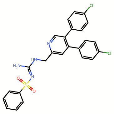 N/C(=N\S(=O)(=O)c1ccccc1)NCc1cc(-c2ccc(Cl)cc2)c(-c2ccc(Cl)cc2)cn1